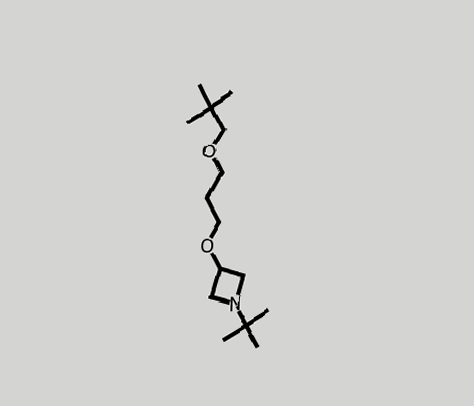 CC(C)(C)COCCCOC1CN(C(C)(C)C)C1